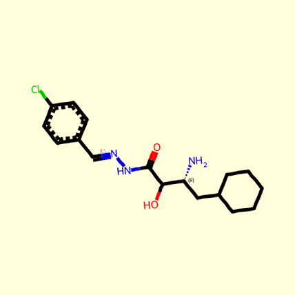 N[C@H](CC1CCCCC1)C(O)C(=O)N/N=C/c1ccc(Cl)cc1